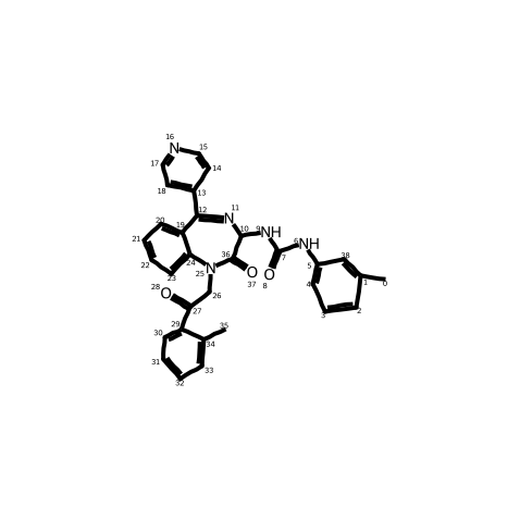 Cc1cccc(NC(=O)NC2N=C(c3ccncc3)c3ccccc3N(CC(=O)c3ccccc3C)C2=O)c1